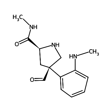 CNC(=O)[C@@H]1C[C@@](C=O)(c2ccccc2NC)CN1